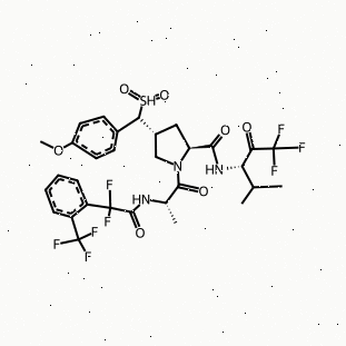 COc1ccc(C([C@@H]2C[C@@H](C(=O)N[C@H](C(=O)C(F)(F)F)C(C)C)N(C(=O)[C@H](C)NC(=O)C(F)(F)c3ccccc3C(F)(F)F)C2)[SH](=O)=O)cc1